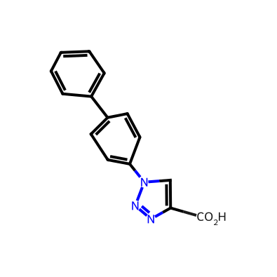 O=C(O)c1cn(-c2ccc(-c3ccccc3)cc2)nn1